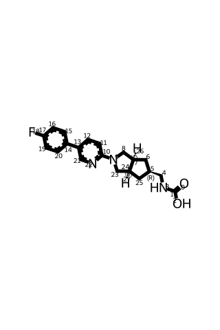 O=C(O)NC[C@@H]1C[C@@H]2CN(c3ccc(-c4ccc(F)cc4)cn3)C[C@@H]2C1